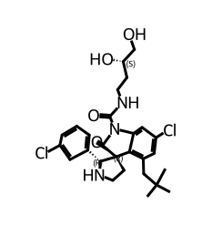 CC(C)(C)Cc1cc(Cl)cc2c1[C@@]1(CCN[C@@H]1c1cccc(Cl)c1)C(=O)N2C(=O)NCC[C@H](O)CO